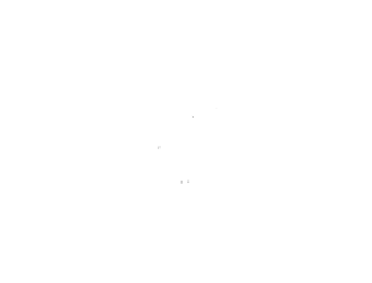 CCCCC[C@H](C)ON(O)O